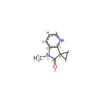 CN1C(=O)C2(CC2)c2ncccc21